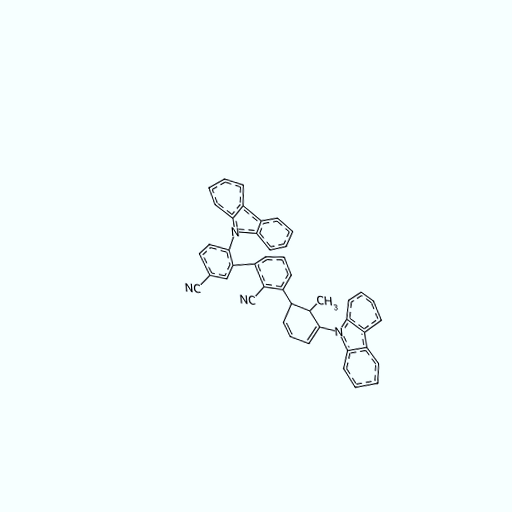 CC1C(n2c3ccccc3c3ccccc32)=CC=CC1c1cccc(-c2cc(C#N)ccc2-n2c3ccccc3c3ccccc32)c1C#N